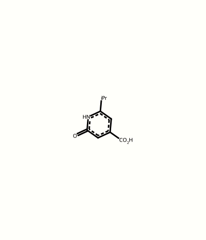 CC(C)c1cc(C(=O)O)cc(=O)[nH]1